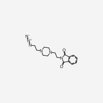 [N-]=[N+]=NCCN1CCN(CCN2C(=O)c3ccccc3C2=O)CC1